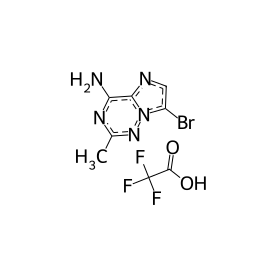 Cc1nc(N)c2ncc(Br)n2n1.O=C(O)C(F)(F)F